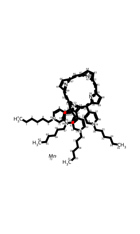 CCCCCCN1C=CC(c2c(C3=CCN(CCCCCC)C=C3)c3c(C4=CCN(CCCCCC)C=C4)c4nc(cc5ccc(cc6nc(cc2n3C2=CCN(CCCCCC)C=C2)C=C6)[nH]5)C=C4)=CC1.[Mn]